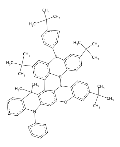 CC(C)(C)c1ccc(N2c3cc(C(C)(C)C)ccc3B3c4c(cc(C(C)(C)C)cc42)-c2c4c(cc5c2C(C)(C)c2ccccc2N5c2ccccc2)Oc2cc(C(C)(C)C)ccc2N34)cc1